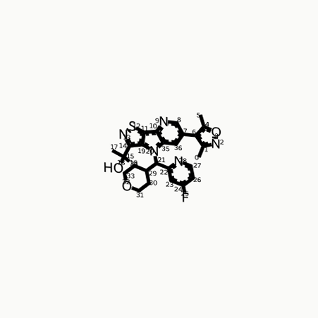 Cc1noc(C)c1-c1cnc2c3snc(C(C)(C)O)c3n(C(c3cc(F)ccn3)C3CCOCC3)c2c1